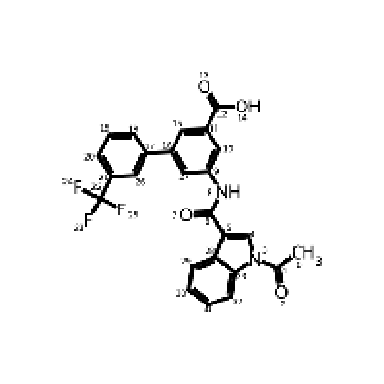 CC(=O)n1cc(C(=O)Nc2cc(C(=O)O)cc(-c3cccc(C(F)(F)F)c3)c2)c2ccccc21